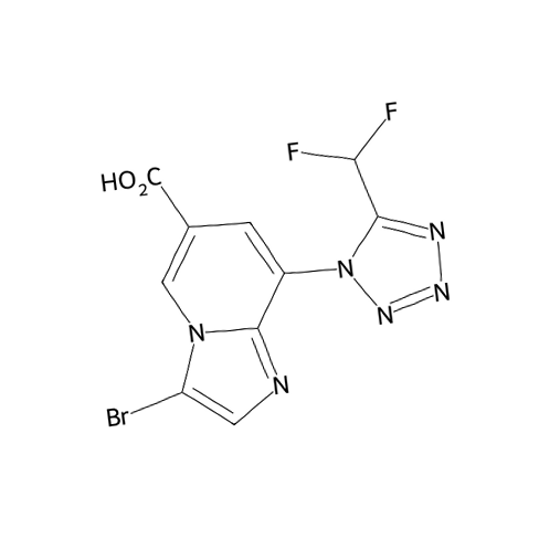 O=C(O)c1cc(-n2nnnc2C(F)F)c2ncc(Br)n2c1